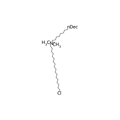 CCCCCCCCCCCCCCCCCC[N+](C)(C)CCCCCCCCCCCCCCCCCCCl